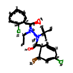 CCN(C(=O)c1ccccc1Cl)N(C(=O)C1C=CC(Cl)=CC1=S)C(C)(C)C